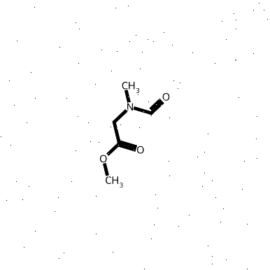 COC(=O)CN(C)[C]=O